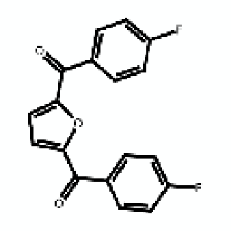 O=C(c1ccc(F)cc1)c1ccc(C(=O)c2ccc(F)cc2)o1